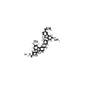 C=Cc1ccc(P(=O)(c2ccc(C=C)cc2)c2ccc(Cc3ccc(P(=O)(c4ccc(C=C)cc4)c4ccc(C=C)cc4)cc3)cc2)cc1